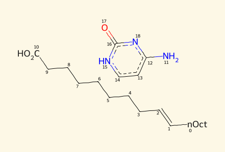 CCCCCCCC/C=C/CCCCCCCC(=O)O.Nc1cc[nH]c(=O)n1